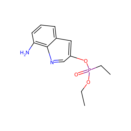 CCOP(=O)(CC)Oc1cnc2c(N)cccc2c1